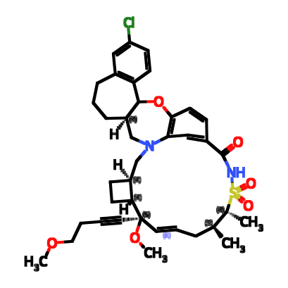 COCCC#C[C@@]1(OC)/C=C/C[C@H](C)[C@@H](C)S(=O)(=O)NC(=O)c2ccc3c(c2)N(C[C@H]2CCCc4cc(Cl)ccc4C2O3)C[C@@H]2CC[C@H]21